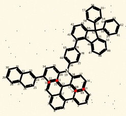 c1ccc(-c2cccc3cccc(-c4ccccc4N(c4ccc(-c5ccc6ccccc6c5)cc4)c4ccc(-c5cccc6c5-c5ccccc5C6(c5ccccc5)c5ccccc5)cc4)c23)cc1